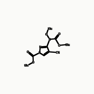 CC(C)(C)OC(=O)N(OC(C)(C)C)c1nn(C(=O)OC(C)(C)C)cc1C#N